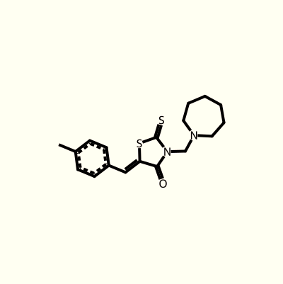 Cc1ccc(C=C2SC(=S)N(CN3CCCCCC3)C2=O)cc1